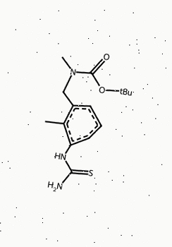 Cc1c(CN(C)C(=O)OC(C)(C)C)cccc1NC(N)=S